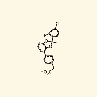 CC1(c2ccc(Cl)cc2F)Oc2cccc(-c3ccc(CC(=O)O)cc3)c2O1